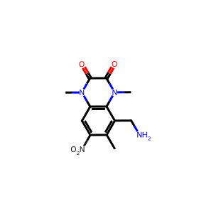 Cc1c([N+](=O)[O-])cc2c(c1CN)n(C)c(=O)c(=O)n2C